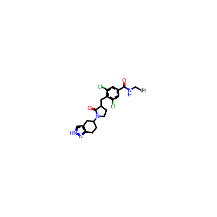 CC(C)CNC(=O)c1cc(Cl)c(CC2CCN(C3CCc4n[nH]cc4C3)C2=O)c(Cl)c1